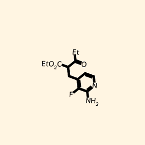 CCOC(=O)C(Cc1ccnc(N)c1F)C(=O)CC